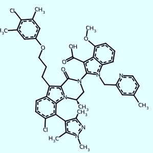 COc1cccc2c1c(C(=O)O)c(N1C[C@@H](C)n3c(c(CCCOc4cc(C)c(Cl)c(C)c4)c4ccc(Cl)c(-c5c(C)nn(C)c5C)c43)C1=O)n2Cc1cc(C)ccn1